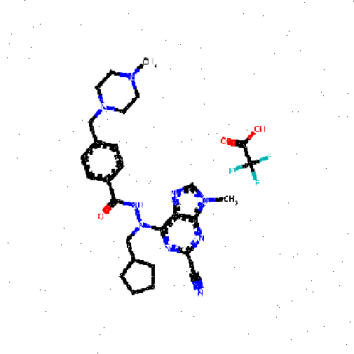 CN1CCN(Cc2ccc(C(=O)NN(CC3CCCC3)c3nc(C#N)nc4c3ncn4C)cc2)CC1.O=C(O)C(F)(F)F